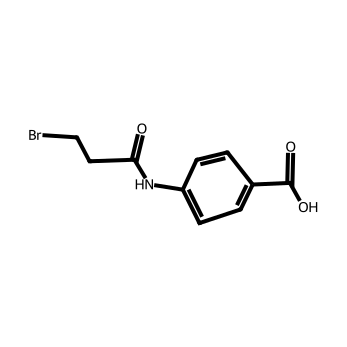 O=C(CCBr)Nc1ccc(C(=O)O)cc1